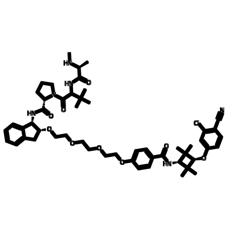 CN[C@@H](C)C(=O)NC(C(=O)N1CCC[C@H]1C(=O)N[C@H]1c2ccccc2C[C@H]1OCCOCCOCCOc1ccc(C(=O)N[C@H]2C(C)(C)[C@H](Oc3ccc(C#N)c(Cl)c3)C2(C)C)cc1)C(C)(C)C